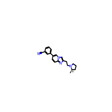 C[C@@H]1CCCN1CCc1cn2cc(-c3cccc(C#N)c3)ccc2n1